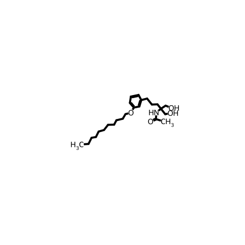 CCCCCCCCCCCOc1cccc(CCCC(CO)(CO)NC(C)=O)c1